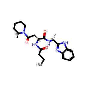 C[C@@H](NC(=O)[C@H](CC(=O)N1CCCC[C@@H]1C)NC(=O)CCC(C)(C)C)c1nc2ccccc2[nH]1